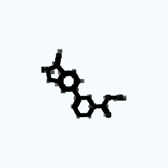 CC(C)(C)OC(=O)N1CCC=C(c2ccc3c(c2)CNC3=O)C1